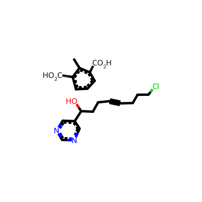 Cc1c(C(=O)O)cccc1C(=O)O.OC(CCC#CCCCCl)c1cncnc1